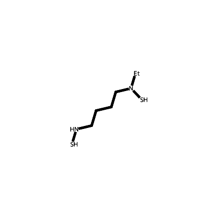 CCN(S)CCCCNS